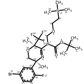 CC(C)(C)OC(=O)N(COCC[Si](C)(C)C)C1=N[C@@](C)(c2cc(Br)ccc2F)CO[C@@]1(C)C(F)(F)F